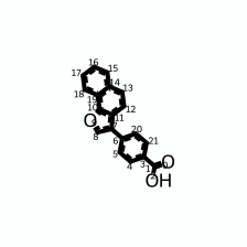 O=C(O)c1ccc(-c2coc3c2ccc2ccccc23)cc1